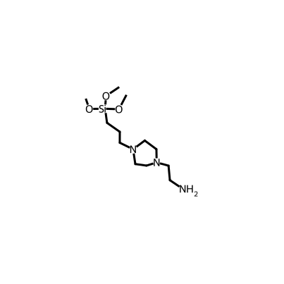 CO[Si](CCCN1CCN(CCN)CC1)(OC)OC